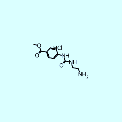 COC(=O)c1ccc(NC(=O)NCCN)cc1.Cl